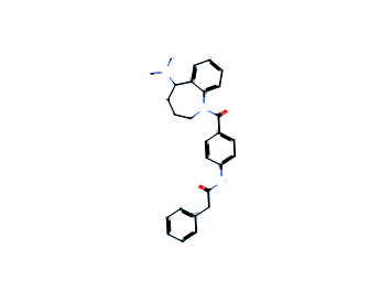 CN(C)C1CCCN(C(=O)c2ccc(NC(=O)Cc3ccccc3)cc2)c2ccccc21